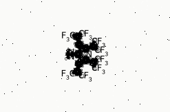 Cc1cc(C)nc(-c2cc(-n3c4ccc(-c5cc(C(F)(F)F)cc(C(F)(F)F)c5)cc4c4cc(-c5cc(C(F)(F)F)cc(C(F)(F)F)c5)ccc43)c(C#N)c(-n3c4ccc(-c5cc(C(F)(F)F)cc(C(F)(F)F)c5)cc4c4cc(-c5cc(C(F)(F)F)cc(C(F)(F)F)c5)ccc43)c2)n1